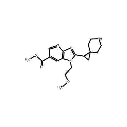 COCCn1c(C2CC23CCNCC3)nc2ncc(C(=O)OC)cc21